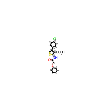 O=C(COc1ccccc1)Nc1scc(-c2ccc(Cl)cc2)c1C(=O)O